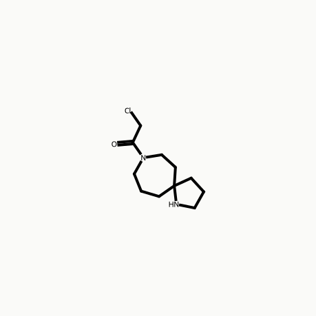 O=C(CCl)N1CCCC2(CCCN2)CC1